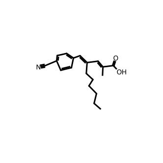 CCCCCCC(=C\c1ccc(C#N)cc1)/C=C(\C)C(=O)O